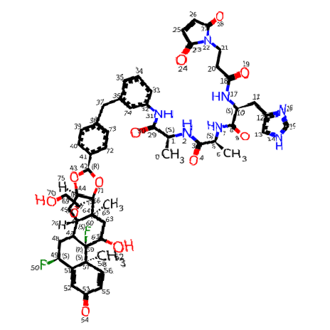 C[C@H](NC(=O)[C@H](C)NC(=O)[C@H](Cc1c[nH]cn1)NC(=O)CCN1C(=O)C=CC1=O)C(=O)Nc1cccc(Cc2ccc([C@@H]3O[C@@H]4C[C@H]5C6C[C@H](F)C7=CC(=O)C=C[C@]7(C)[C@@]6(F)C(O)C[C@]5(C)[C@]4(C(=O)CO)O3)cc2)c1